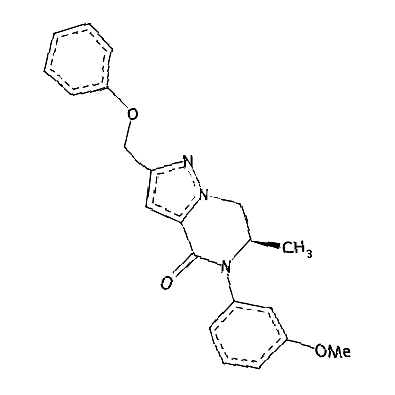 COc1cccc(N2C(=O)c3cc(COc4ccccc4)nn3C[C@H]2C)c1